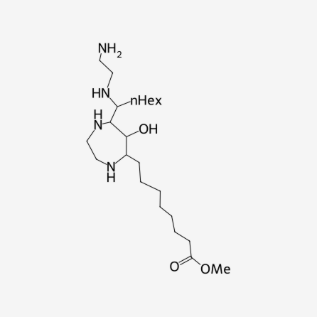 CCCCCCC(NCCN)C1NCCNC(CCCCCCCC(=O)OC)C1O